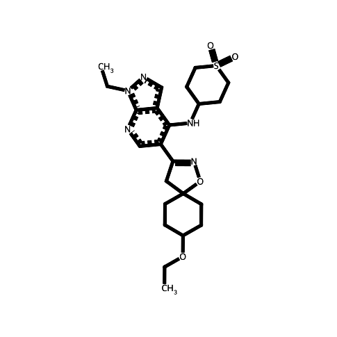 CCOC1CCC2(CC1)CC(c1cnc3c(cnn3CC)c1NC1CCS(=O)(=O)CC1)=NO2